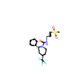 CS(=O)(=O)/C=C/CNC(=O)N1CC[C@@H](C(F)(F)F)C[C@H]1c1ccccc1